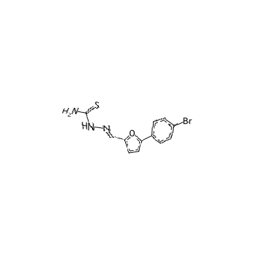 NC(=S)NN=Cc1ccc(-c2ccc(Br)cc2)o1